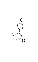 COC(=O)C=C(c1ccc(Cl)cc1)C1CC1